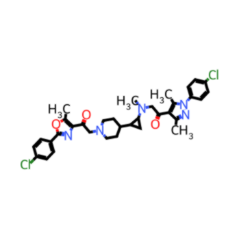 Cc1nn(-c2ccc(Cl)cc2)c(C)c1C(=O)CN(C)C1CC1C1CCN(CC(=O)c2nc(-c3ccc(Cl)cc3)oc2C)CC1